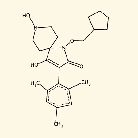 Cc1cc(C)c(C2=C(O)C3(CCN(O)CC3)N(OCC3CCCC3)C2=O)c(C)c1